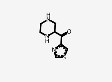 O=C(c1cscn1)C1CNCCN1